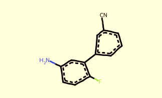 N#Cc1cccc(-c2cc(N)ccc2F)c1